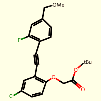 COCc1ccc(C#Cc2cc(Cl)ccc2OCC(=O)OC(C)(C)C)c(F)c1